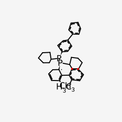 CC1=C(c2ccccc2C)[C]([P@](C2CCCCC2)[P@](c2ccc(-c3ccccc3)cc2)C2CCCCC2)CC=C1